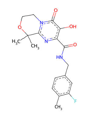 Cc1ccc(CNC(=O)c2nc3n(c(=O)c2O)CCOC3(C)C)cc1F